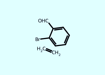 C=C.O=Cc1ccccc1Br